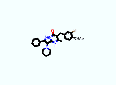 COc1ccc(Cc2c(C)[nH]c3c(N4CCCCC4)c(-c4ccccc4)nn3c2=O)cc1Br